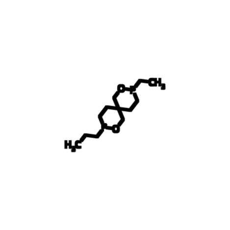 CCCP1CCC2(CCP(CC)OC2)CO1